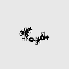 CC(C)Oc1ccc(-c2noc(-c3ccc(N[C@@H]4C[C@H](C(=O)O)N(C(=O)OC(C)(C)C)C4)cc3)n2)cc1Cl